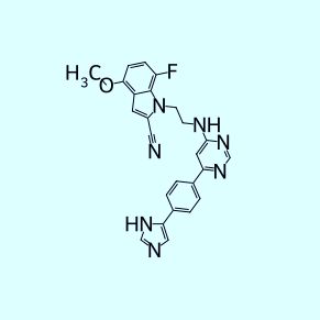 COc1ccc(F)c2c1cc(C#N)n2CCNc1cc(-c2ccc(-c3cnc[nH]3)cc2)ncn1